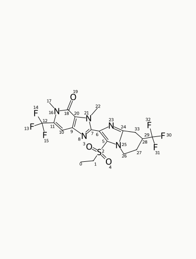 CCS(=O)(=O)c1c(-c2nc3cc(C(F)(F)F)n(C)c(=O)c3n2C)nc2n1CCC(C(F)(F)F)C2